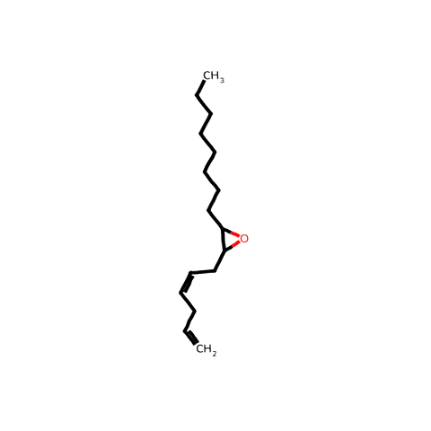 C=CC/C=C\CC1OC1CCCCCCCC